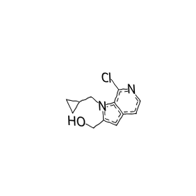 OCc1cc2ccnc(Cl)c2n1CC1CC1